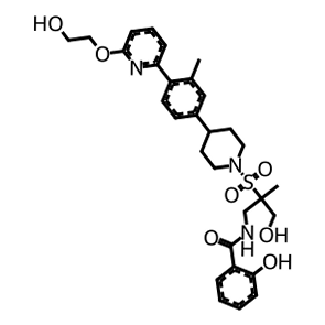 Cc1cc(C2CCN(S(=O)(=O)C(C)(CO)CNC(=O)c3ccccc3O)CC2)ccc1-c1cccc(OCCO)n1